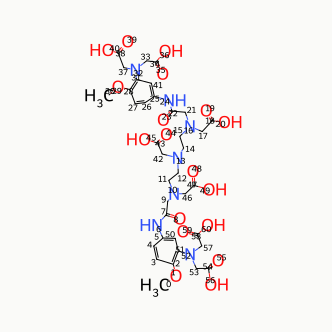 COc1ccc(NC(=O)CN(CCN(CCN(CC(=O)O)CC(=O)Nc2ccc(OC)c(N(CC(=O)O)CC(=O)O)c2)CC(=O)O)CC(=O)O)cc1N(CC(=O)O)CC(=O)O